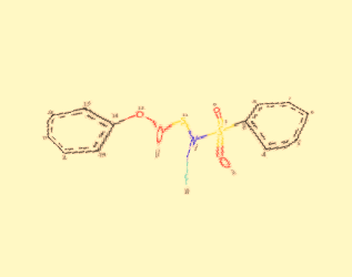 O=S(=O)(c1ccccc1)N(F)SOOc1ccccc1